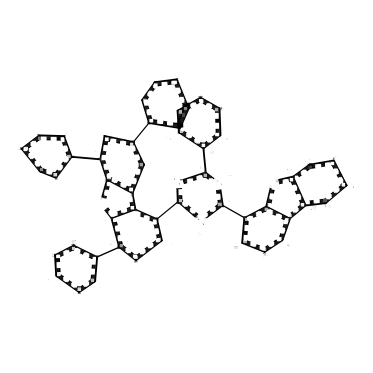 c1ccc(-c2cc(-c3ccccc3)c3sc4c(-c5ccccc5)ccc(-c5nc(-c6ccccc6)nc(-c6cccc7c6oc6ccccc67)n5)c4c3c2)cc1